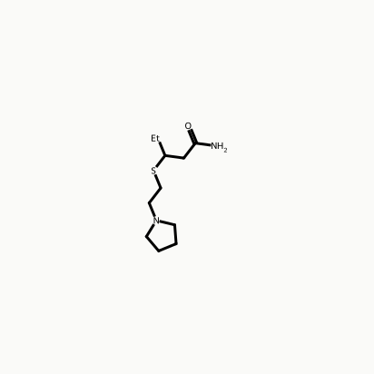 CCC(CC(N)=O)SCCN1CCCC1